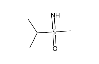 CC(C)S(C)(=N)=O